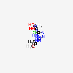 CCN(Cc1ccc(OC)cc1)c1nc(Nc2cc(C#N)cc(N3CC[C@@H](N(C)C(=O)O)[C@H](O)C3)c2Cl)nn2c(C#N)cnc12